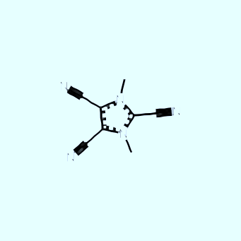 Cn1c(C#N)c(C#N)[n+](C)c1C#N